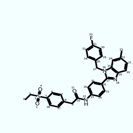 CCS(=O)(=O)c1ccc(CC(=O)Nc2ccc(-c3nc4ccc(C)cc4n3Cc3ccc(F)cc3)cc2)cc1